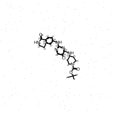 CC(C)(C)OC(=O)N1CCC(Nc2nc(Nc3ccc4c(c3)CCNC4=O)ncc2Cl)CC1